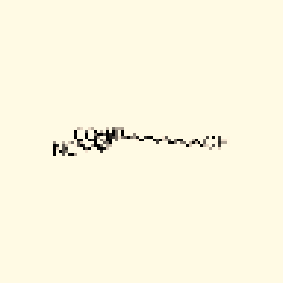 N#CC(=Cc1ccc(OCCCCCCCCCCCO)cc1)C(=O)O